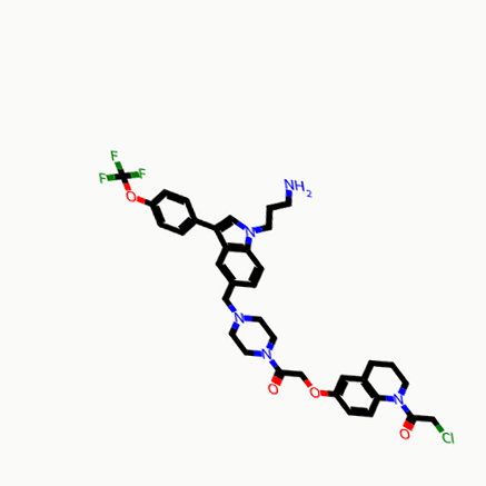 NCCCn1cc(-c2ccc(OC(F)(F)F)cc2)c2cc(CN3CCN(C(=O)COc4ccc5c(c4)CCCN5C(=O)CCl)CC3)ccc21